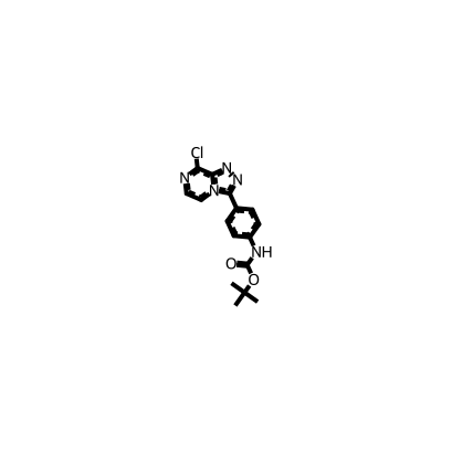 CC(C)(C)OC(=O)Nc1ccc(-c2nnc3c(Cl)nccn23)cc1